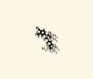 CC(C)(C)c1ncc(N2C(=S)N(c3ccc(C#N)c(C(F)(F)F)c3F)C(=O)C2(C)C)cc1Cl